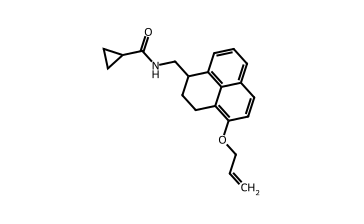 C=CCOc1ccc2cccc3c2c1CCC3CNC(=O)C1CC1